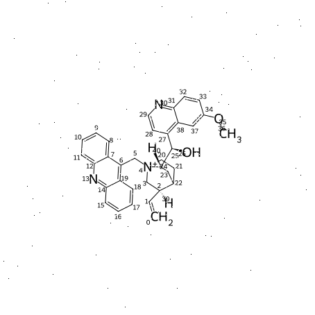 C=C[C@H]1C[N+]2(Cc3c4ccccc4nc4ccccc34)CCC1C[C@H]2[C@H](O)c1ccnc2ccc(OC)cc12